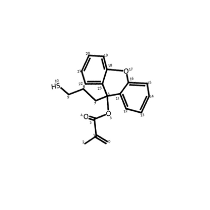 C=C(C)C(=O)OC1(CCCS)c2ccccc2Oc2ccccc21